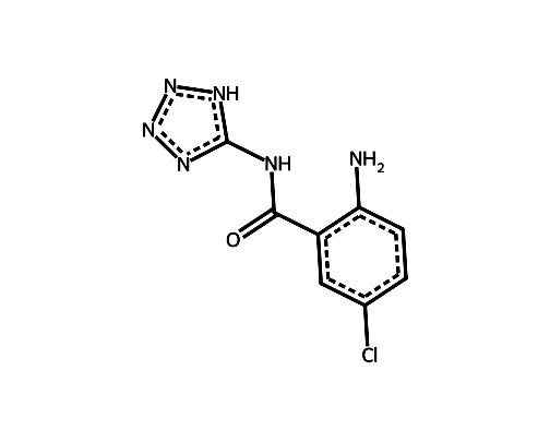 Nc1ccc(Cl)cc1C(=O)Nc1nnn[nH]1